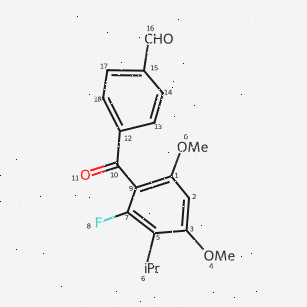 COc1cc(OC)c(C(C)C)c(F)c1C(=O)c1ccc(C=O)cc1